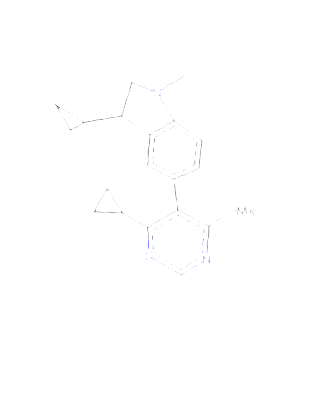 COc1ncnc(C2CC2)c1-c1ccc2c(c1)C(C1CC1)CN2C